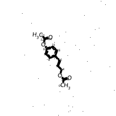 CC(=O)OCC=Cc1ccc(OC(C)=O)cc1